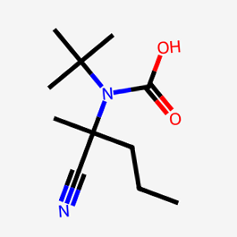 CCCC(C)(C#N)N(C(=O)O)C(C)(C)C